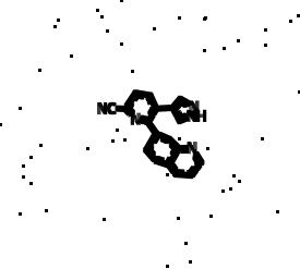 N#Cc1ccc(-c2cn[nH]c2)c(-c2ccc3cccnc3c2)n1